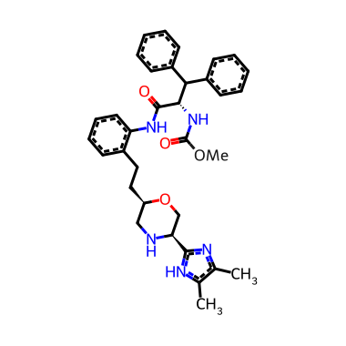 COC(=O)N[C@H](C(=O)Nc1ccccc1CC[C@@H]1CN[C@H](c2nc(C)c(C)[nH]2)CO1)C(c1ccccc1)c1ccccc1